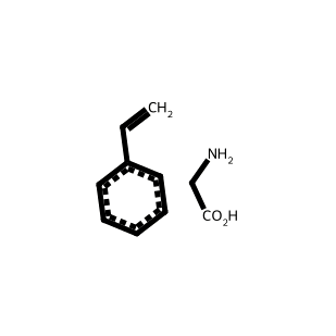 C=Cc1ccccc1.NCC(=O)O